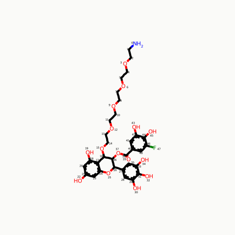 NCCOCCOCCOCCOCCOC1c2c(O)cc(O)cc2OC(c2cc(O)c(O)c(O)c2)C1OC(=O)c1cc(O)c(O)c(F)c1